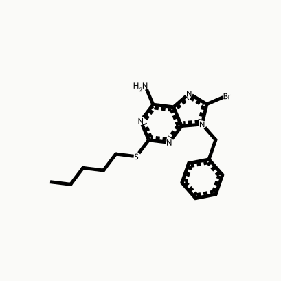 CCCCCSc1nc(N)c2nc(Br)n(Cc3ccccc3)c2n1